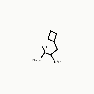 CNC(CC1CCC1)C(O)C(=O)O